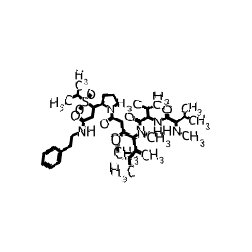 CCC(C)C(C(CC(=O)N1CCCC1C(CC(=O)NCCc1ccccc1)S(=O)(=O)C(C)C)OC)N(C)C(=O)C(NC(=O)C(NC)C(C)C)C(C)C